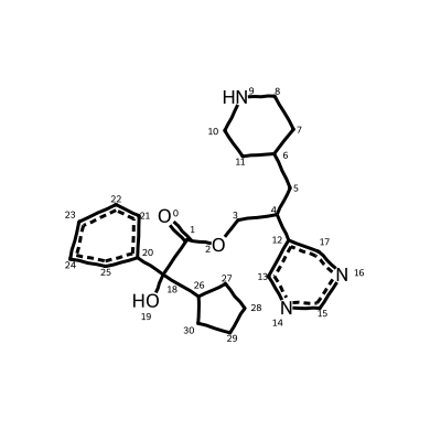 O=C(OCC(CC1CCNCC1)c1cncnc1)C(O)(c1ccccc1)C1CCCC1